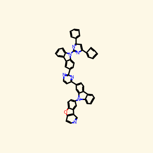 c1ccc(-c2cc(-c3ccccc3)nc(-n3c4ccccc4c4cc(-c5nccc(-c6ccc7c8ccccc8n(-c8ccc9oc%10ccncc%10c9c8)c7c6)n5)ccc43)n2)cc1